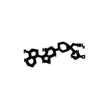 NCC1(c2nc(Cl)cs2)C2CCN(c3c[nH]c4c(-c5ccc(F)c6ncccc56)nnc-4n3)CC21